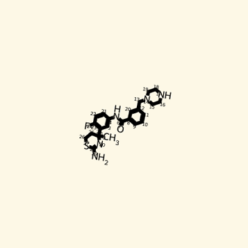 CC1(c2cc(NC(=O)c3cccc(CN4CCNCC4)c3)ccc2F)CCSC(N)=N1